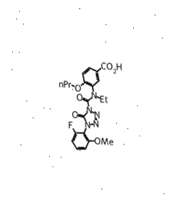 CCCOc1ccc(C(=O)O)cc1N(CC)C(=O)n1nnn(-c2c(F)cccc2OC)c1=O